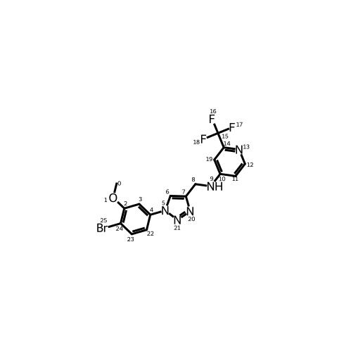 COc1cc(-n2cc(CNc3ccnc(C(F)(F)F)c3)nn2)ccc1Br